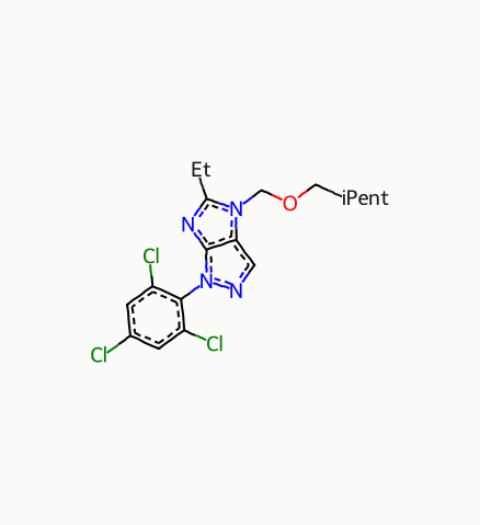 CCCC(C)COCn1c(CC)nc2c1cnn2-c1c(Cl)cc(Cl)cc1Cl